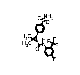 CC1(C)[C@@H](C(=O)Nc2ccc(F)cc2C(F)(F)F)[C@@H]1c1ccc(S(N)(=O)=O)cc1